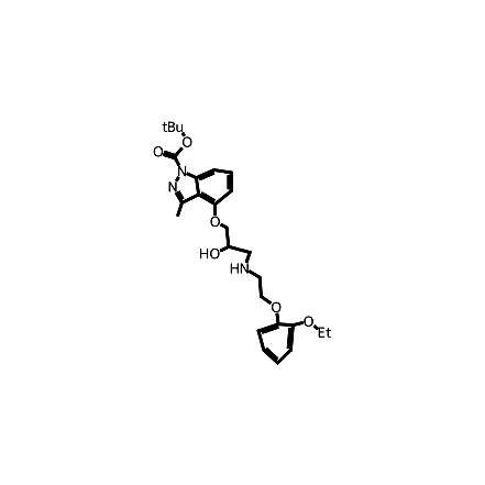 CCOc1ccccc1OCCNCC(O)COc1cccc2c1c(C)nn2C(=O)OC(C)(C)C